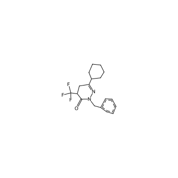 O=C1C(C(F)(F)F)CC(C2CCCCC2)=NN1Cc1ccccc1